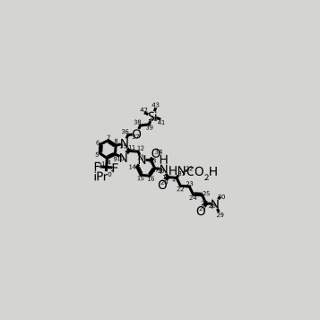 CC(C)C(F)(F)c1cccc2c1nc(Cn1cccc(NC(=O)C(CCC=CC(=O)N(C)C)NC(=O)O)c1=O)n2COCC[Si](C)(C)C